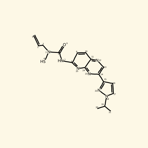 C=CCN(S)C(=O)Nc1ccc2ncc(-c3ccn(C(C)C)n3)nc2n1